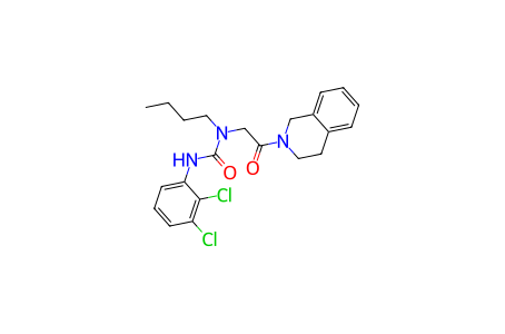 CCCCN(CC(=O)N1CCc2ccccc2C1)C(=O)Nc1cccc(Cl)c1Cl